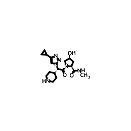 CNC(=O)[C@@H]1C[C@@H](O)CN1C(=O)[C@H](C1CCNCC1)n1cc(C2CC2)nn1